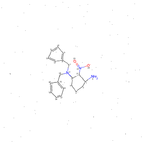 NC1CCCC(N(Cc2ccccc2)Cc2ccccc2)C1[N+](=O)[O-]